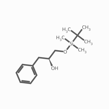 CC(C)(C)[Si](C)(C)OC[C@@H](O)Cc1ccccc1